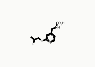 CC(F)COc1cc(CNC(=O)O)ccn1